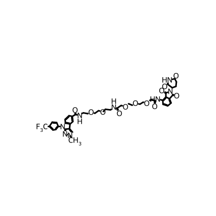 Cn1cc2c3cc(C(=O)NCCOCCOCCNC(=O)COCCOCCOCC(=O)Nc4cccc5c4C(=O)N(C4CCC(=O)NC4=O)C5=O)ccc3n(-c3ccc(C(F)(F)F)cc3)c2n1